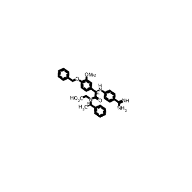 COc1cc([C@@H](Nc2ccc(C(=N)N)cc2)C(=O)N(CC(=O)O)[C@H](C)c2ccccc2)ccc1OCc1ccccc1